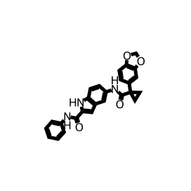 O=C(Nc1ccccc1)c1cc2cc(NC(=O)C3(c4ccc5c(c4)OCO5)CC3)ccc2[nH]1